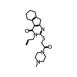 C=CCn1c(SCC(=O)N2CCN(C)CC2)nc2c(c1=O)C1=C(CCCC1)C2